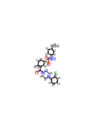 CCCCc1ccc(NS(=O)(=O)c2ccc(C)c(C(=O)N3CCN(c4ccccc4F)CC3)c2)cc1